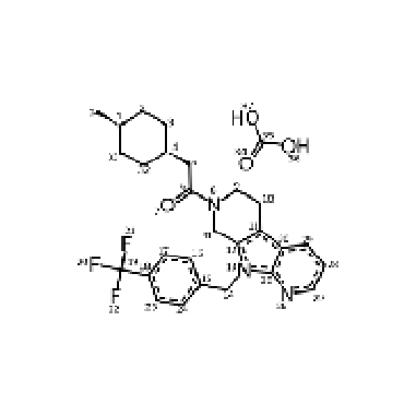 C[C@H]1CC[C@@H](CC(=O)N2CCc3c(n(Cc4ccc(C(F)(F)F)cc4)c4ncccc34)C2)CC1.O=C(O)O